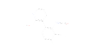 COc1ncccc1-c1ccc(F)c(C)c1N=C=O